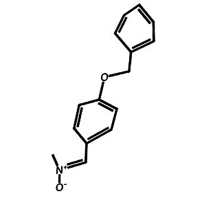 C/[N+]([O-])=C\c1ccc(OCc2ccccc2)cc1